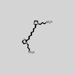 O=S(=O)(O)CCCN1CCSC1=CC=CC=CC=CC1=[N+](CCCS(=O)(=O)O)CCS1